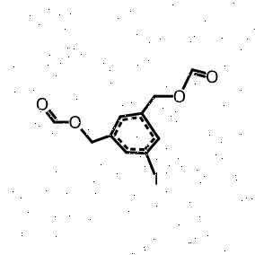 O=COCc1cc(I)cc(COC=O)c1